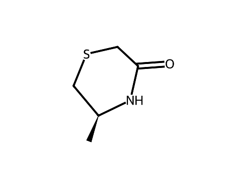 C[C@H]1CSCC(=O)N1